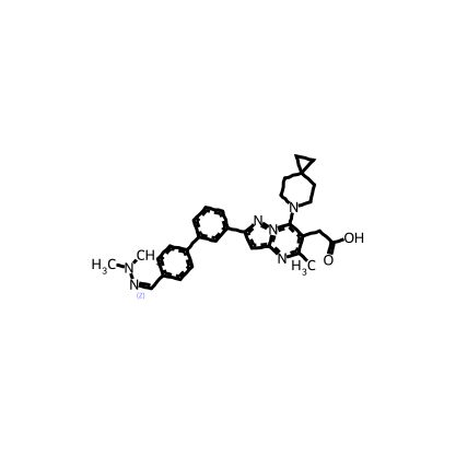 Cc1nc2cc(-c3cccc(-c4ccc(/C=N\N(C)C)cc4)c3)nn2c(N2CCC3(CC2)CC3)c1CC(=O)O